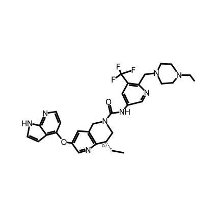 CC[C@H]1CN(C(=O)Nc2cnc(CN3CCN(CC)CC3)c(C(F)(F)F)c2)Cc2cc(Oc3ccnc4[nH]ccc34)cnc21